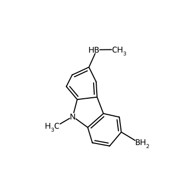 Bc1ccc2c(c1)c1cc(BC)ccc1n2C